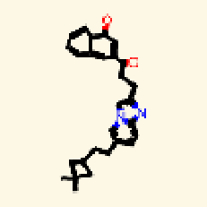 CC1(C)CC(CCc2ccc3nc(CCC(=O)C4=CC(=O)C5C=CC=CC5=C4)cn3c2)C1